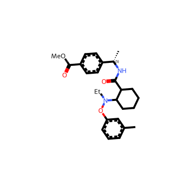 CCN(Oc1cccc(C)c1)C1CCCCC1C(=O)N[C@@H](C)c1ccc(C(=O)OC)cc1